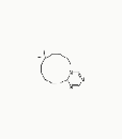 CC1(C)CCCCCC2N=CN=CN2CCCC1